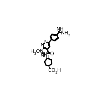 CN(C)c1nnc(-c2ccc(C(=N)N)cc2)cc1C(=O)N[C@H]1CC[C@H](C(=O)O)CC1